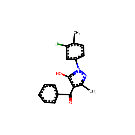 Cc1ccc(-n2nc(C)c(C(=O)c3ccccc3)c2O)cc1Cl